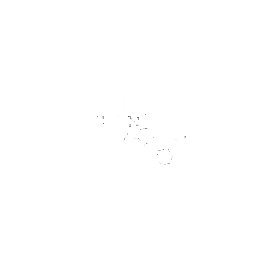 CCOc1ccccc1-c1ccc(S(=O)(=O)NC2CCNCC2)c(C(F)(F)F)c1